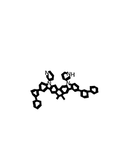 CC1c2cc3c4cc(-c5cccc(-c6ccccc6)c5)ccc4n(C4=CNCC=C4)c3cc2-c2cc3c(cc2C1C)c1cc(-c2cccc(C4C=CC=CC4)c2)ccc1n3-c1cccnc1